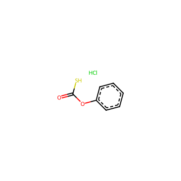 Cl.O=C(S)Oc1ccccc1